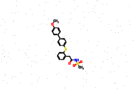 COc1ccc(-c2ccc(Sc3ccccc3CC(=O)NS(C)(=O)=O)cc2)cc1